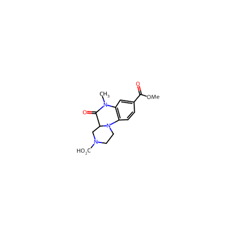 COC(=O)c1ccc2c(c1)N(C)C(=O)C1CN(C(=O)O)CCN21